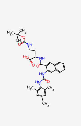 Cc1cc(C)c(NC(=O)Nc2cc3ccccc3cc2C(=O)N[C@@H](CCNC(=O)OC(C)(C)C)C(=O)O)c(C)c1